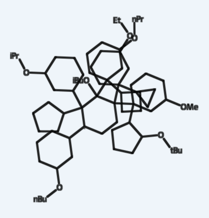 CCCCOC1CCCC([C]2CCC(C3(C4CC4)CCCC(OCC)C3)(C3(C4CCCC4OC(C)(C)C)CCCC(OC)C3)C(OCC(C)C)(C3(C4CCC4)CCCC(OCCC)C3)C2(C2CCCC2)C2CCCC(OC(C)C)C2)C1